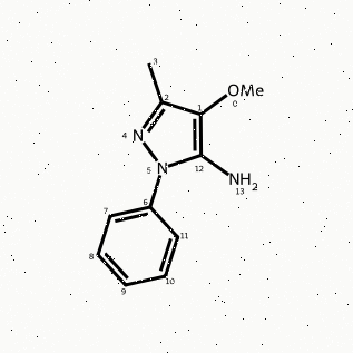 COc1c(C)nn(-c2ccccc2)c1N